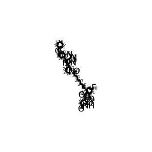 Nc1ncnc2c1c(-c1ccc(Oc3ccccc3)cc1)nn2[C@@H]1CCCN(C(=O)CCCCCCSc2cc(F)cc3c2C(=O)N(C2CCC(=O)NC2=O)C3=O)C1